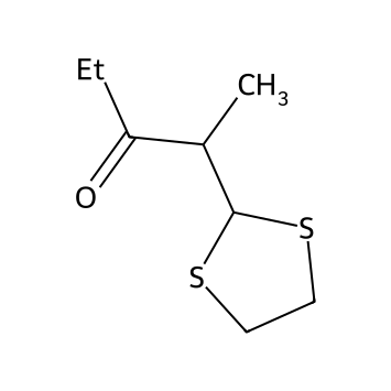 CCC(=O)C(C)C1SCCS1